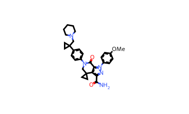 COc1ccc(-n2nc(C(N)=O)c3c2C(=O)N(c2ccc(C4(CN5CCCCC5)CC4)cc2)CC32CC2)cc1